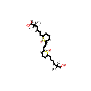 CC(C)(CO)CCCCC1CCCC(C=CC2CCCC(CCCCC(C)(C)C(=O)O)[S+]2[O-])[S+]1[O-]